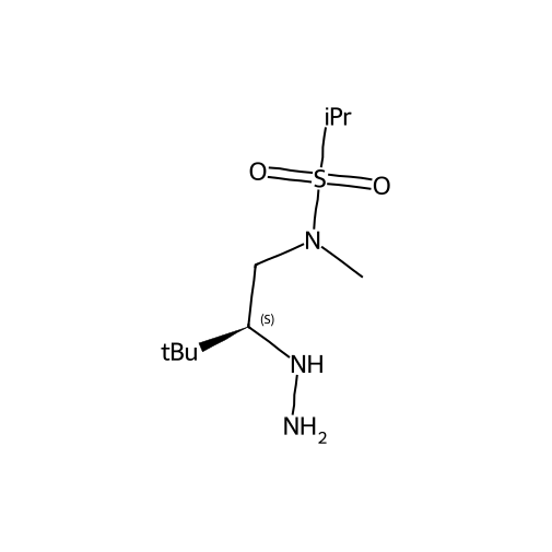 CC(C)S(=O)(=O)N(C)C[C@@H](NN)C(C)(C)C